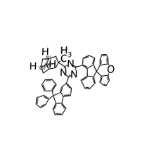 CC1(c2nc(-c3ccc4c(c3)C(c3ccccc3)(c3ccccc3)c3ccccc3-4)nc(-c3cccc4c3-c3ccccc3C43c4ccccc4Oc4ccccc43)n2)CC2C[C@H]3C[C@@H](C1)[C@H]23